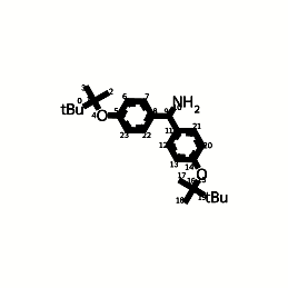 CC(C)(C)C(C)(C)Oc1ccc(C(N)c2ccc(OC(C)(C)C(C)(C)C)cc2)cc1